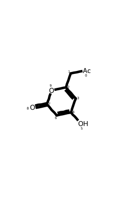 CC(=O)Cc1cc(O)cc(=O)o1